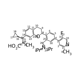 Cc1cc(-c2ccc(C3CCc4ccc([C@H](C5CC5)[C@H](C)C(=O)O)cc4O3)c(CN(C(C)C)C(C)C)c2)c(F)cn1